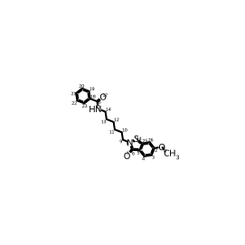 COc1ccc2c(=O)n(CCCCCCNC(=O)c3ccccc3)sc2c1